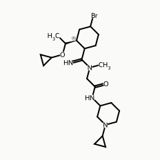 CC(OC1CC1)[C@H]1CC(Br)CCC1C(=N)N(C)CC(=O)NC1CCCN(C2CC2)C1